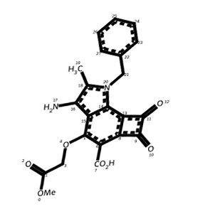 COC(=O)COc1c(C(=O)O)c2c(=O)c(=O)c2c2c1c(N)c(C)n2Cc1ccccc1